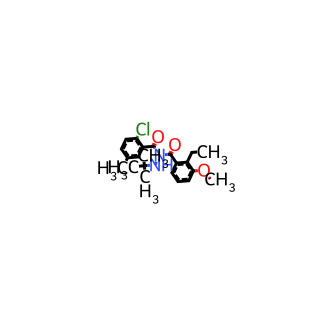 CCc1c(OC)cccc1C(=O)N(NC(C)(C)C)C(=O)c1cc(C)ccc1Cl